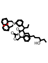 CCC(O)CCCCCC(=O)C(C(=O)N1C(=O)OCC1c1ccccc1)C(CC)c1cccc(N(Cc2ccccc2)Cc2ccccc2)c1